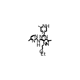 CCOCCn1nc(C)c2nc(N3CCN[C@H](C)C3)nc(Nc3nccc(C)n3)c21